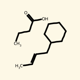 C/C=C/CC1CCCCC1.CCCC(=O)O